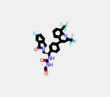 O=CNC(=O)N[C@@H](CN1Cc2ccc(F)cc2C1=O)c1ccc(-c2cc(C(F)(F)F)nc3c(C(F)(F)F)cccc23)cc1